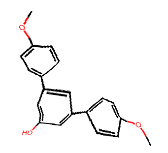 COc1ccc(-c2cc(O)cc(-c3ccc(OC)cc3)c2)cc1